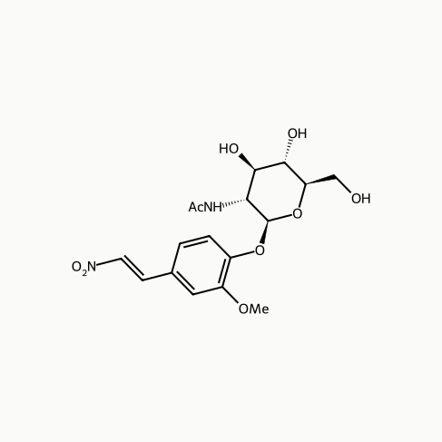 COc1cc(C=C[N+](=O)[O-])ccc1O[C@@H]1O[C@H](CO)[C@@H](O)[C@H](O)[C@H]1NC(C)=O